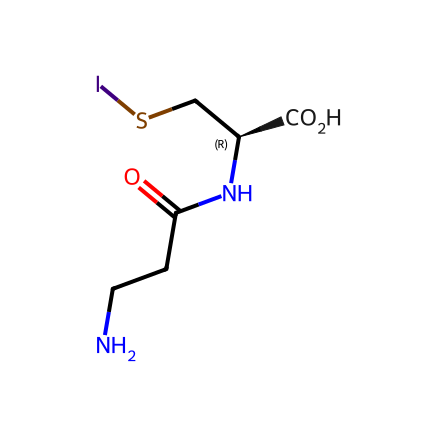 NCCC(=O)N[C@@H](CSI)C(=O)O